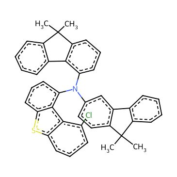 CC1(C)c2ccccc2-c2cc(N(c3cccc4c3-c3ccccc3C4(C)C)c3cccc4sc5cccc(Cl)c5c34)ccc21